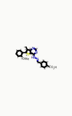 COc1ccccc1-c1sc2c(NN=Cc3ccc(C(=O)O)cc3)ncnc2c1C